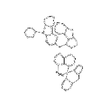 c1ccc(-n2c3ccccc3c3cc(N(c4ccc5c6c(cccc46)C4(c6ccccc6Oc6ccccc64)c4ccccc4-5)c4cccc5sc6ccccc6c45)ccc32)cc1